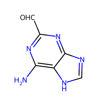 Nc1nc(C=O)nc2nc[nH]c12